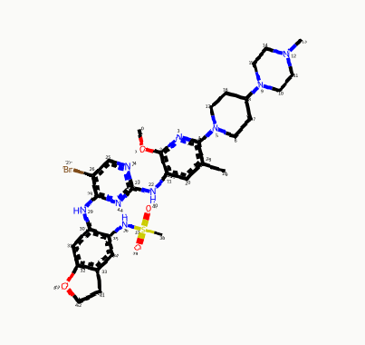 COc1nc(N2CCC(N3CCN(C)CC3)CC2)c(C)cc1Nc1ncc(Br)c(Nc2cc3c(cc2NS(C)(=O)=O)CCO3)n1